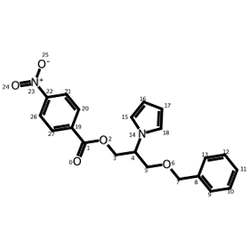 O=C(OCC(COCc1ccccc1)n1cccc1)c1ccc([N+](=O)[O-])cc1